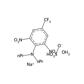 CCCN(CCC)c1c([N+](=O)[O-])cc(C(F)(F)F)cc1[N+](=O)[O-].O.O=S(=O)([O-])O.[Na+]